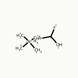 CCCC(O)F.C[N+](C)(C)C